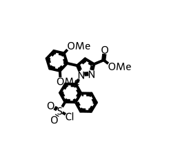 COC(=O)c1cc(-c2c(OC)cccc2OC)n(-c2ccc(S(=O)(=O)Cl)c3ccccc23)n1